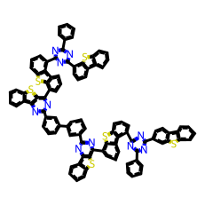 c1ccc(-c2nc(-c3ccc4c(c3)sc3ccccc34)nc(-c3cccc4sc5c(-c6nc(-c7cccc(-c8cccc(-c9nc(-c%10cccc%11c%10sc%10cccc(-c%12nc(-c%13ccccc%13)nc(-c%13cccc%14c%13sc%13ccccc%13%14)n%12)c%10%11)c%10sc%11ccccc%11c%10n9)c8)c7)nc7c6sc6ccccc67)cccc5c34)n2)cc1